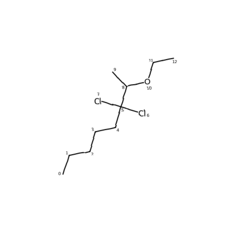 CCCCCC(Cl)(Cl)C(C)OCC